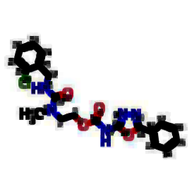 CN(CCOC(=O)Nc1nnc(-c2ccccc2)o1)C(=O)NCc1ccccc1Cl